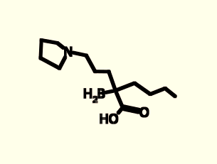 BC(CCCC)(CCCN1CCCC1)C(=O)O